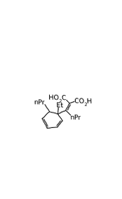 CCCC(=C(C(=O)O)C(=O)O)C1(CC)C=CC=CC1CCC